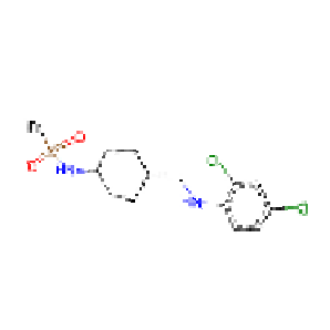 CC(C)S(=O)(=O)N[C@H]1CC[C@H](CNc2ccc(Cl)cc2Cl)CC1